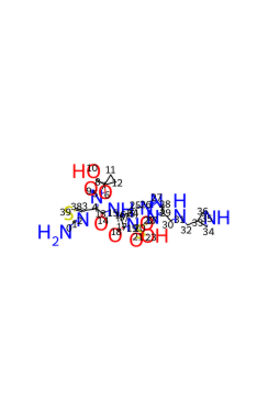 Nc1nc(C(=NOC2(C(=O)O)CC2)C(=O)N[C@@H]2C(=O)N(S(=O)(=O)O)[C@H]2Cn2ncc(CNCC3CNC3)n2)cs1